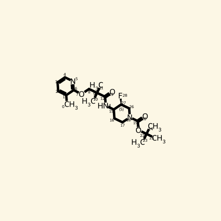 Cc1cccnc1OCC(C)(C)C(=O)NC1CCN(C(=O)OC(C)(C)C)C[C@@H]1F